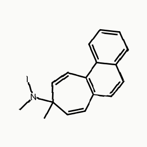 CN(I)C1(C)C=Cc2ccc3ccccc3c2C=C1